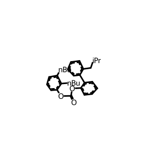 CCCCc1cccc(OC(=O)Oc2ccccc2-c2ccccc2CC(C)C)c1CCCC